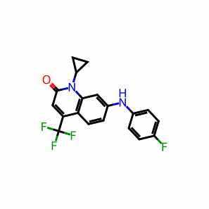 O=c1cc(C(F)(F)F)c2ccc(Nc3ccc(F)cc3)cc2n1C1CC1